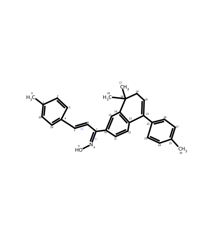 Cc1ccc(/C=C/C(=N\O)c2ccc3c(c2)C(C)(C)CC=C3c2ccc(C)cc2)cc1